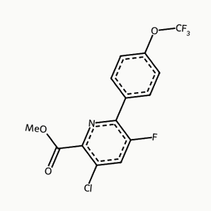 COC(=O)c1nc(-c2ccc(OC(F)(F)F)cc2)c(F)cc1Cl